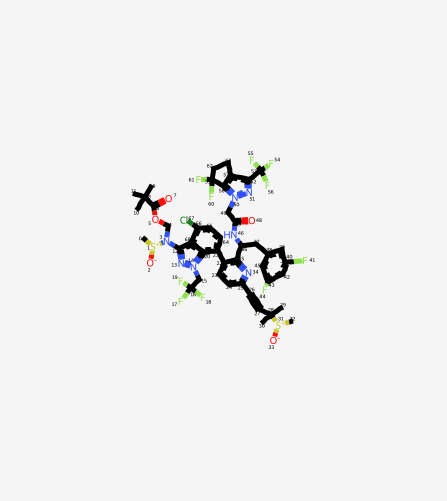 C[S+]([O-])N(COC(=O)C(C)(C)C)c1nn(CC(F)(F)F)c2c(-c3ccc(C#CC(C)(C)[S+](C)[O-])nc3C(Cc3cc(F)cc(F)c3)NC(=O)Cn3nc(C(F)(F)F)c4c3C(F)(F)CC4)ccc(Cl)c12